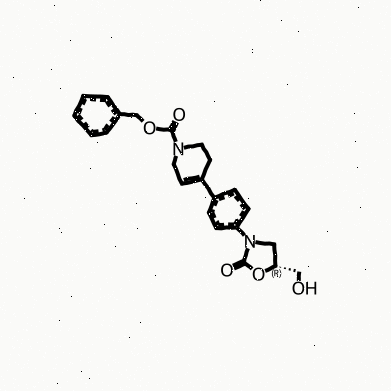 O=C(OCc1ccccc1)N1CC=C(c2ccc(N3C[C@H](CO)OC3=O)cc2)CC1